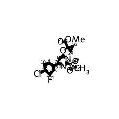 COC(=O)C1(Oc2cc(-c3ccc(Cl)c(F)c3)nc(S(C)(=O)=O)n2)CC1